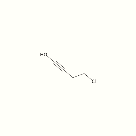 OC#CCCCl